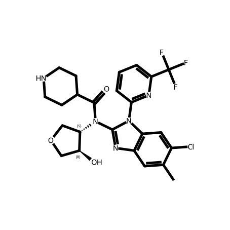 Cc1cc2nc(N(C(=O)C3CCNCC3)[C@H]3COC[C@@H]3O)n(-c3cccc(C(F)(F)F)n3)c2cc1Cl